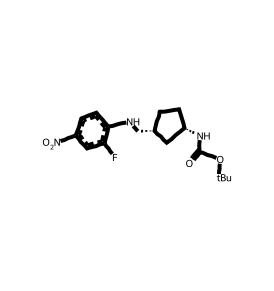 CC(C)(C)OC(=O)N[C@H]1CC[C@@H](CNc2ccc([N+](=O)[O-])cc2F)C1